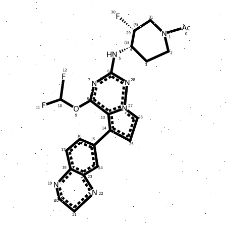 CC(=O)N1CC[C@H](Nc2nc(OC(F)F)c3c(-c4ccc5nccnc5c4)ccn3n2)[C@H](F)C1